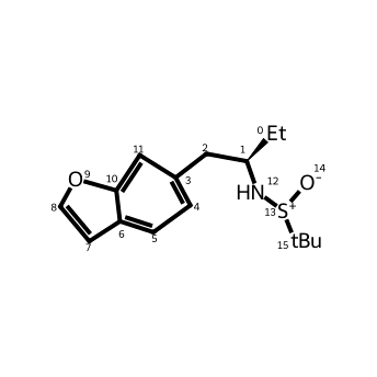 CC[C@H](Cc1ccc2ccoc2c1)N[S+]([O-])C(C)(C)C